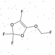 FCOC1=C(F)OC(F)(F)O1